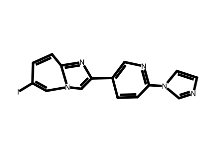 Ic1ccc2nc(-c3ccc(-n4ccnc4)nc3)cn2c1